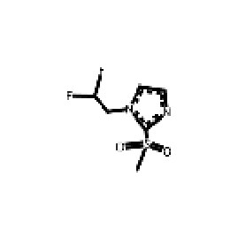 CS(=O)(=O)c1nccn1CC(F)F